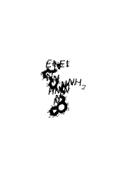 CCN(CC)CC1CCCN1c1ccc(Nc2nc(N)nn2-c2cc3c(nn2)-c2ccccc2CCC3)cn1